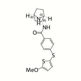 COc1ccc(Sc2ccc(C(=O)N[C@@H]3C[C@H]4CC[C@@H]3N4)cc2)s1